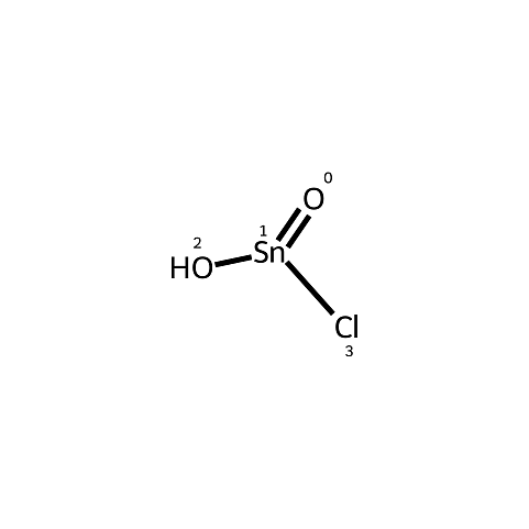 [O]=[Sn]([OH])[Cl]